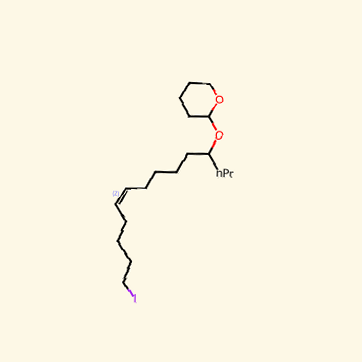 CCCC(CCCC/C=C\CCCCI)OC1CCCCO1